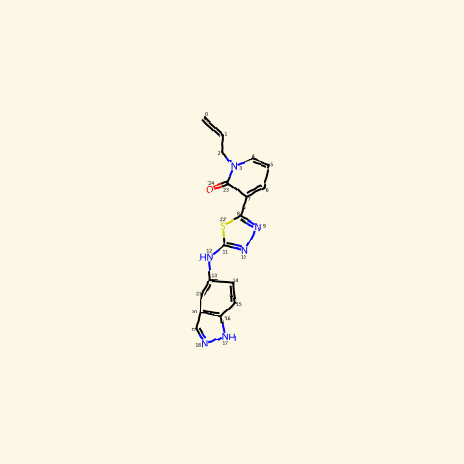 C=CCn1cccc(-c2nnc(Nc3ccc4[nH]ncc4c3)s2)c1=O